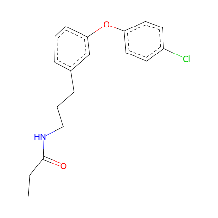 CCC(=O)NCCCc1cccc(Oc2ccc(Cl)cc2)c1